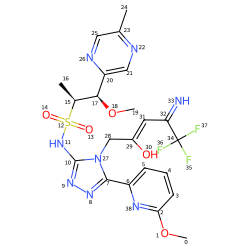 COc1cccc(-c2nnc(NS(=O)(=O)[C@@H](C)[C@H](OC)c3cnc(C)cn3)n2C/C(O)=C/C(=N)C(F)(F)F)n1